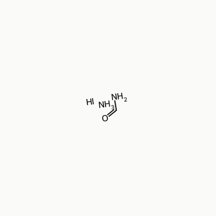 I.N.NC=O